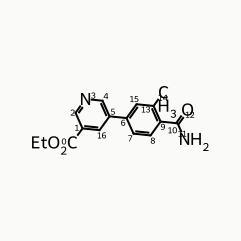 CCOC(=O)c1cncc(-c2ccc(C(N)=O)c(C)c2)c1